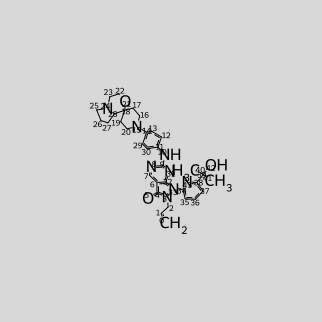 C=CCn1c(=O)c2cnc(Nc3ccc(N4CCC5(CC4)OCCN4CCCC45)cc3)nc2n1-c1cccc(C(C)(C)O)n1